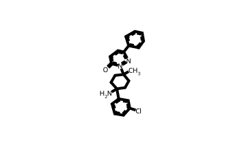 CC1(n2nc(-c3ccccc3)ccc2=O)CCC(N)(c2cccc(Cl)c2)CC1